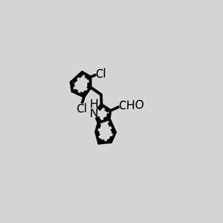 O=Cc1c(Cc2c(Cl)cccc2Cl)[nH]c2ccccc12